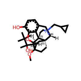 COC12CC[C@@]3(C[C@@H]1C(C)(O)C(C)(C)C)[C@H]1Cc4ccc(O)c5c4[C@@]3(CCN1CC1CC1)[C@H]2O5